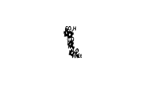 CCNC(=O)[C@@H]1CCCN1Cc1cc(Oc2ccc3c(ccn3C(=O)O)c2)ncn1